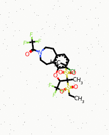 CCS(=O)(=O)C(C)(C(Oc1c(Cl)ccc2c1CCN(C(=O)C(F)(F)F)CC2)C(F)(F)F)S(=O)(=O)CC